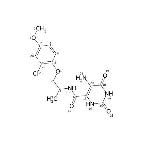 COc1ccc(OCC(C)NC(=O)c2[nH]c(=O)[nH]c(=O)c2N)c(Cl)c1